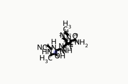 CC(=N)/C(O)=C(\NCCC#N)c1n[nH]c(-c2c(F)c(C(N)=O)n3cc(C)ncc23)n1